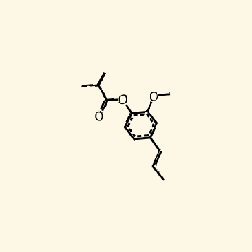 C/C=C/c1ccc(OC(=O)C(C)C)c(OC)c1